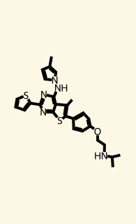 Cc1ccn(Nc2nc(-c3cccs3)nc3sc(-c4ccc(OCCNC(C)C)cc4)c(C)c23)c1